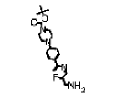 C=C(/N=C\C(F)=C/N)c1ccc(N2CCN(C(=O)OC(C)(C)C)CC2)cc1